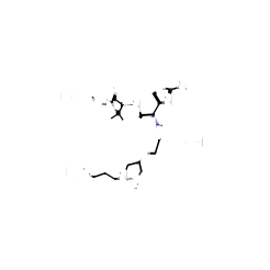 CN1CC(OC[C@H](O/N=C(\C(=O)N[C@@H]2C(=O)N(OS(=O)(=O)O)C2(C)C)c2csc(N)n2)C(=O)O)CN1CCCN